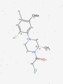 COc1cc(N2CCN(C(=O)CCl)[C@@H](C)C2)c(F)cc1I